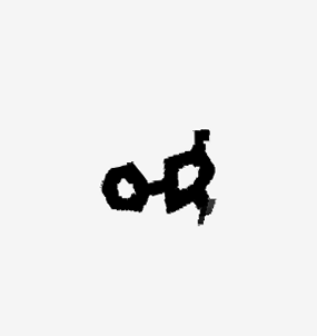 Fc1cc(F)cc(-c2[c]cccc2)c1